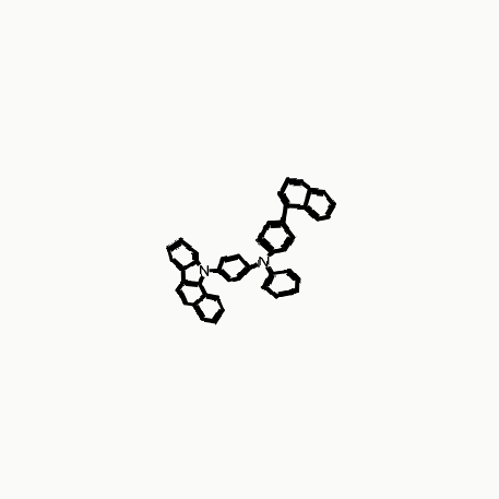 c1ccc(N(c2ccc(-c3cccc4ccccc34)cc2)c2ccc(-n3c4ccccc4c4ccc5ccccc5c43)cc2)cc1